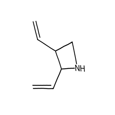 C=CC1CNC1C=C